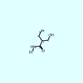 [CH2]CNC(=O)C(CS)CC(C)C